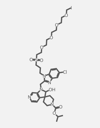 CC(C)OC(=O)N1CCC2(CC1)c1ccncc1N(Cc1nc3cc(Cl)ccc3n1CCCS(=O)(=O)CCOCCOCCOCCOCI)C2O